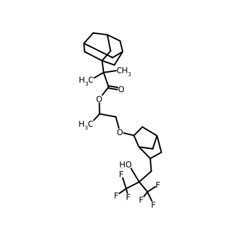 CC(COC1CC2CC(CC(O)(C(F)(F)F)C(F)(F)F)C1C2)OC(=O)C(C)(C)C12CC3CC(CC(C3)C1)C2